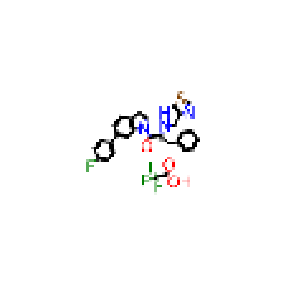 O=C(O)C(F)(F)F.O=C([C@H](Cc1ccccc1)NCc1cscn1)N1CCc2ccc(-c3ccc(F)cc3)cc21